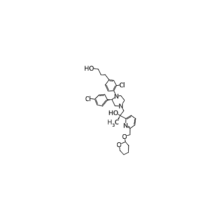 C[C@@](O)(CN1CCN(c2ccc(CCCO)cc2Cl)[C@H](c2ccc(Cl)cc2)C1)c1cccc(COC2CCCCO2)n1